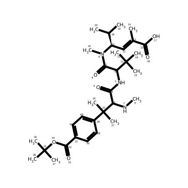 CNC(C(=O)NC(C(=O)N(C)[C@H](/C=C(\C)C(=O)O)C(C)C)C(C)(C)C)C(C)(C)c1ccc(C(=O)OC(C)(C)C)cc1